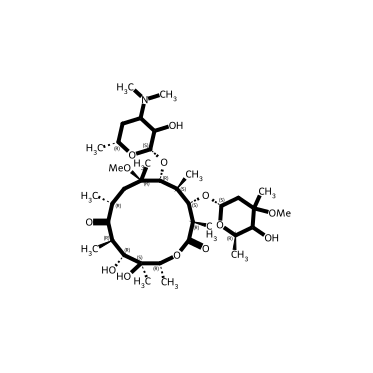 COC1(C)C[C@@H](O[C@H]2[C@H](C)[C@@H](O[C@@H]3O[C@H](C)CC(N(C)C)C3O)[C@](C)(OC)C[C@@H](C)C(=O)[C@H](C)[C@@H](O)[C@](C)(O)[C@@H](C)OC(=O)[C@@H]2C)O[C@H](C)C1O